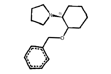 c1ccc(COC2CCCC[C@@H]2N2CCCC2)cc1